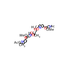 COC(=O)C1(/C=C/c2ccc3ccc([C@@H](C)OC(=O)CCCC(C)(C)OC(=O)N4CCC(/C=C/c5ccc6ccc([C@@H](C)OC(C)=O)nc6c5)(C(=O)OC)CC4)nc3c2)CCN(C(C)=O)CC1